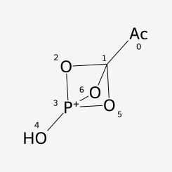 CC(=O)C12O[P+](O)(O1)O2